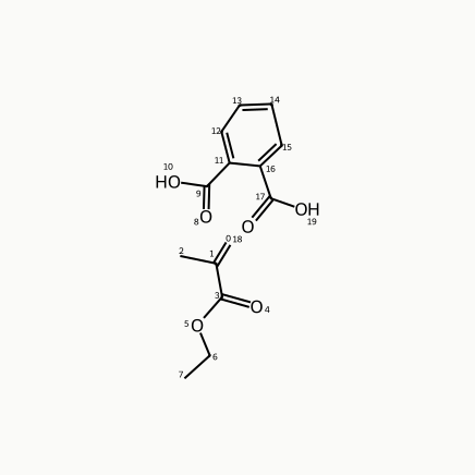 C=C(C)C(=O)OCC.O=C(O)c1ccccc1C(=O)O